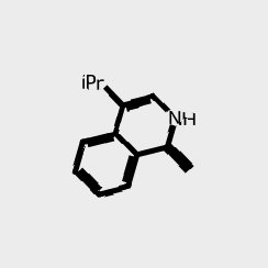 C=C1NC=C(C(C)C)c2ccccc21